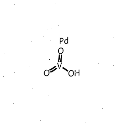 [O]=[V](=[O])[OH].[Pd]